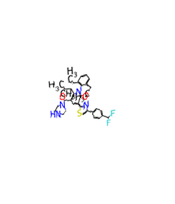 CCc1cccc(CC)c1-n1c(CC(C)C)c(C(=O)N2CCNCC2)cc(-c2nc(-c3ccc(C(F)F)cc3)cs2)c1=O